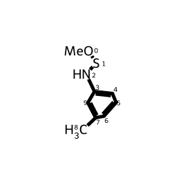 COSNc1cccc(C)c1